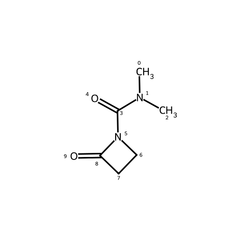 CN(C)C(=O)N1CCC1=O